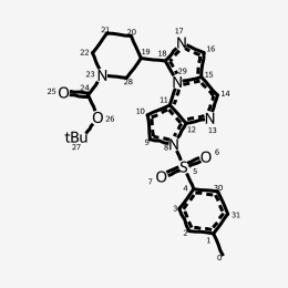 Cc1ccc(S(=O)(=O)n2ccc3c2ncc2cnc(C4CCCN(C(=O)OC(C)(C)C)C4)n23)cc1